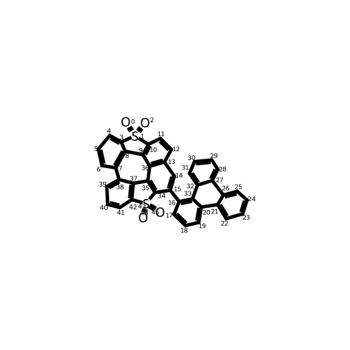 O=S1(=O)c2cccc3c2-c2c1ccc1cc(-c4cccc5c6ccccc6c6ccccc6c45)c4c(c21)-c1c-3cccc1S4(=O)=O